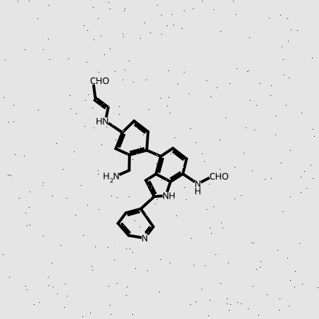 NCc1cc(NC=CC=O)ccc1-c1ccc(NC=O)c2[nH]c(-c3cccnc3)cc12